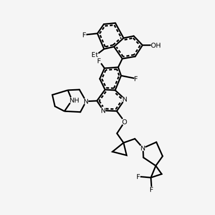 CCc1c(F)ccc2cc(O)cc(-c3c(F)cc4c(N5CC6CCC(C5)N6)nc(OCC5(CN6CCC7(C6)CC7(F)F)CC5)nc4c3F)c12